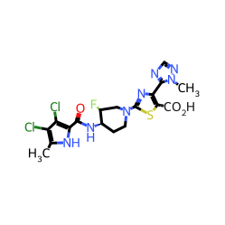 Cc1[nH]c(C(=O)N[C@@H]2CCN(c3nc(-c4ncnn4C)c(C(=O)O)s3)C[C@@H]2F)c(Cl)c1Cl